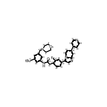 CC(C)(C)c1cc(CN2CCOCC2)cc(NC(=O)Cc2ccc(-c3cnc4cc(-c5ccncc5)ccn34)cc2F)c1